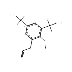 COc1c(CC=O)cc(C(C)(C)C)cc1C(C)(C)C